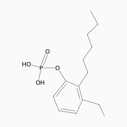 CCCCCCc1c(CC)cccc1OP(=O)(O)O